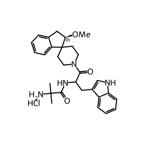 CO[C@@H]1Cc2ccccc2C12CCN(C(=O)C(Cc1c[nH]c3ccccc13)NC(=O)C(C)(C)N)CC2.Cl